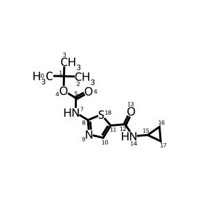 CC(C)(C)OC(=O)Nc1ncc(C(=O)NC2CC2)s1